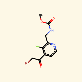 CC(C)(C)OC(=O)NCc1nccc(C(=O)CBr)c1F